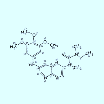 CCN(C)C(=S)N(C)c1ccc2ncc(Nc3cc(OC)c(OC)c(OC)c3)nc2n1